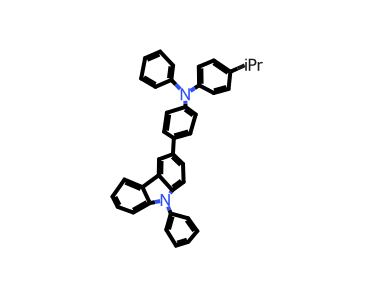 CC(C)c1ccc(N(c2ccccc2)c2ccc(-c3ccc4c(c3)c3ccccc3n4-c3ccccc3)cc2)cc1